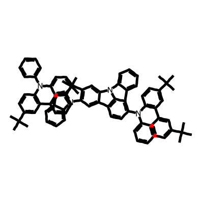 CC(C)(C)c1cccc(-c2cc(C(C)(C)C)ccc2N(c2ccccc2)c2ccc3c4cc5c(cc4n4c6ccccc6c2c34)c2ccc(N(c3ccccc3)c3ccc(C(C)(C)C)cc3-c3cccc(C(C)(C)C)c3)c3c4ccccc4n5c23)c1